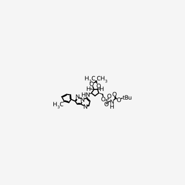 Cc1cccc(-c2cc3nccc(N[C@@H]4C[C@H](COS(=O)(=O)NC(=O)OC(C)(C)C)[C@H]5OC(C)(C)O[C@H]54)n3n2)c1